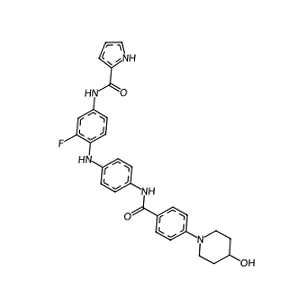 O=C(Nc1ccc(Nc2ccc(NC(=O)c3ccc[nH]3)cc2F)cc1)c1ccc(N2CCC(O)CC2)cc1